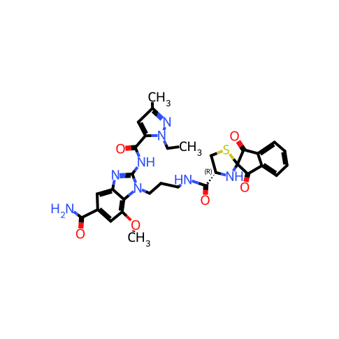 CCn1nc(C)cc1C(=O)Nc1nc2cc(C(N)=O)cc(OC)c2n1CCCNC(=O)[C@@H]1CSC2(N1)C(=O)c1ccccc1C2=O